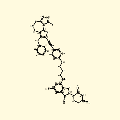 Cc1nnc2n1-c1sc(C#Cc3ccc(CCCCNc4cc(F)cc5c4CN(C4CCC(=O)NC4=O)C5=O)nc3)c(Cc3ccccc3)c1COC2